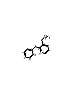 NCc1cccnc1Cc1ccccc1